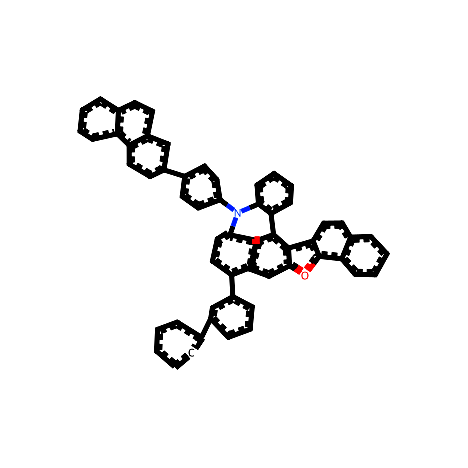 c1ccc(-c2cccc(-c3ccc(N(c4ccc(-c5ccc6c(ccc7ccccc76)c5)cc4)c4ccccc4-c4cccc5oc6c7ccccc7ccc6c45)cc3)c2)cc1